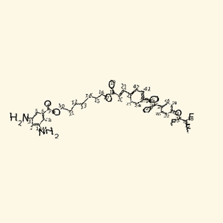 Nc1cc(N)cc(C(=O)OCCCCCCCOC(=O)C=Cc2ccc(OC(=O)c3ccc(OC(F)C(F)F)cc3)cc2)c1